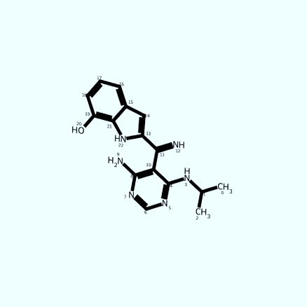 CC(C)Nc1ncnc(N)c1C(=N)c1cc2cccc(O)c2[nH]1